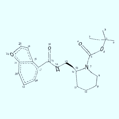 CC(C)(C)OC(=O)N1CCCC[C@H]1CNC(=O)c1cccc2occc12